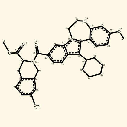 COC(=O)[C@@H]1Cc2ccc(O)cc2CN1C(=O)c1ccc2c(C3CCCCC3)c3n(c2c1)CCOc1cc(OC)ccc1-3